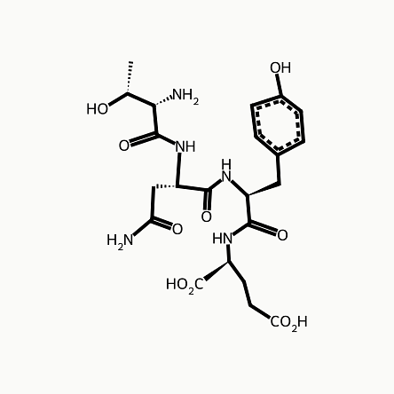 C[C@@H](O)[C@H](N)C(=O)N[C@@H](CC(N)=O)C(=O)N[C@@H](Cc1ccc(O)cc1)C(=O)N[C@@H](CCC(=O)O)C(=O)O